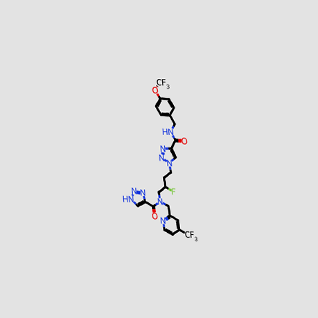 O=C(NCc1ccc(OC(F)(F)F)cc1)c1cn(CCC(F)CN(Cc2cc(C(F)(F)F)ccn2)C(=O)c2c[nH]nn2)nn1